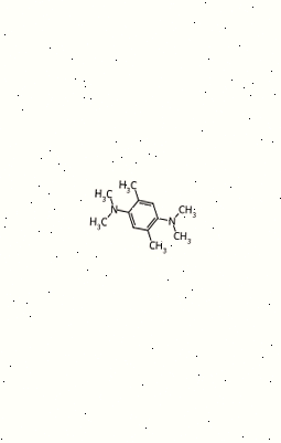 Cc1cc(N(C)C)c(C)cc1N(C)C